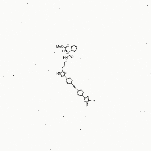 CCc1nc(-c2ccc(C#Cc3ccc(-c4c[nH]c(CCCCNC(=O)[C@H](NC(=O)OC)c5ccccc5)n4)cc3)cc2)c[nH]1